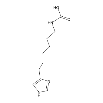 O=C(O)NCCCCCCc1c[nH]cn1